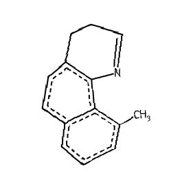 Cc1cccc2ccc3c(c12)N=CCC3